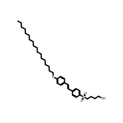 CCCCCCCCCCCCCCCCCCOc1ccc(C=Cc2ccc(S(=O)(=O)CCCCO)cc2)cc1